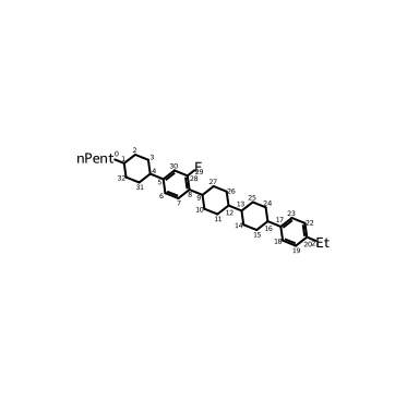 CCCCCC1CCC(c2ccc(C3CCC(C4CCC(c5ccc(CC)cc5)CC4)CC3)c(F)c2)CC1